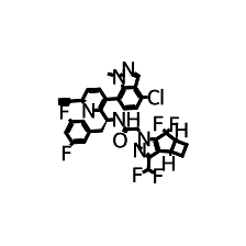 C#Cc1ccc(-c2ccc(Cl)c3cnn(C)c23)c([C@H](Cc2cc(F)cc(F)c2)NC(=O)Cn2nc(C(F)F)c3c2C(F)(F)[C@@H]2CC[C@H]32)n1